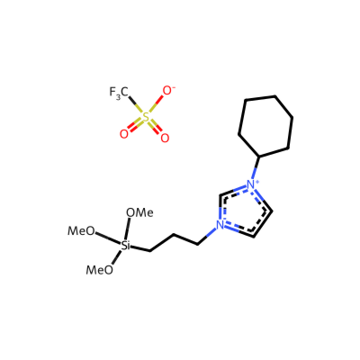 CO[Si](CCCn1cc[n+](C2CCCCC2)c1)(OC)OC.O=S(=O)([O-])C(F)(F)F